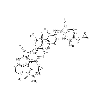 CN(C)S(=O)(=O)c1c(Cl)ccc(Nc2c(N[C@@H](c3cccc(CN(C)S(=O)(=O)c4c(Cl)ccc(Nc5c(N[C@@H](C(=O)NC6CC6)C(C)(C)C)c(=O)c5=O)c4O)c3)C3CC3)c(=O)c2=O)c1O